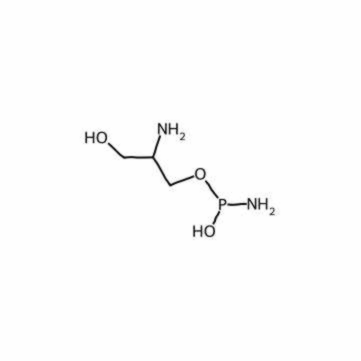 NC(CO)COP(N)O